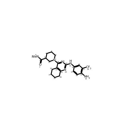 CNC(=O)C1CCCN(c2nc(Nc3ccc(N)c(C(F)(F)F)c3)nc3c2CCCC3)C1